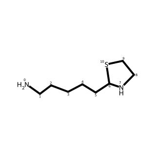 NCCCCCC1NCCS1